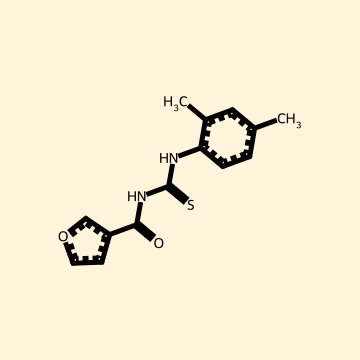 Cc1ccc(NC(=S)NC(=O)c2ccoc2)c(C)c1